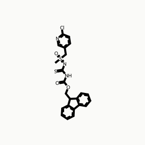 CS(=O)(Cc1ccc(Cl)nc1)=NC(=S)NC(=O)OCC1c2ccccc2-c2ccccc21